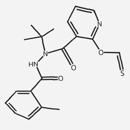 Cc1ccccc1C(=O)NN(C(=O)c1cccnc1OC=S)C(C)(C)C